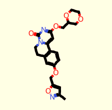 Cc1cc(COc2ccc3c(c2)CCn2c-3cc(OCC3COCCO3)nc2=O)on1